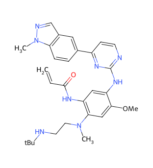 C=CC(=O)Nc1cc(Nc2nccc(-c3ccc4c(cnn4C)c3)n2)c(OC)cc1N(C)CCNC(C)(C)C